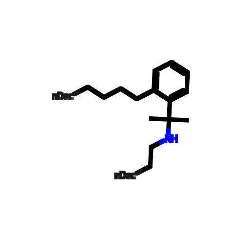 CCCCCCCCCCCCCCc1ccccc1C(C)(C)NCCCCCCCCCCCC